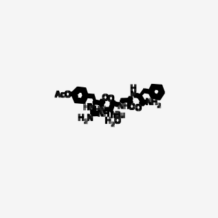 CCCC[C@@H](NC(=O)[C@H](Cc1ccc(OC(C)=O)cc1)NC(=N)N)C(=O)NCC(=O)N[C@@H](Cc1ccccc1)C(N)=O.O